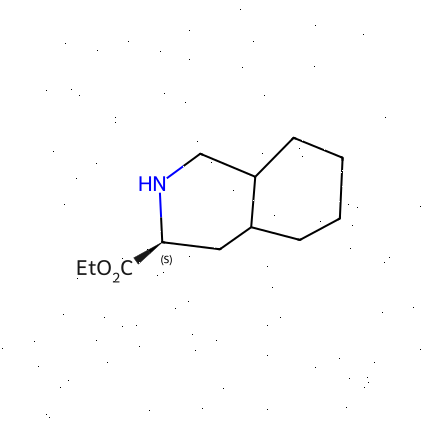 CCOC(=O)[C@@H]1CC2CCCCC2CN1